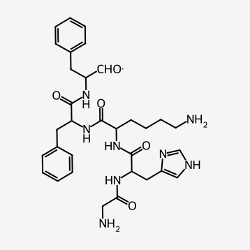 NCCCCC(NC(=O)C(Cc1c[nH]cn1)NC(=O)CN)C(=O)NC(Cc1ccccc1)C(=O)NC([C]=O)Cc1ccccc1